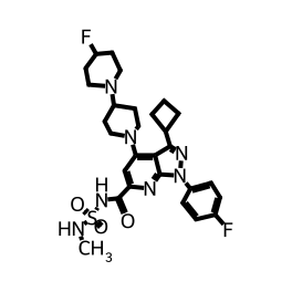 CNS(=O)(=O)NC(=O)c1cc(N2CCC(N3CCC(F)CC3)CC2)c2c(C3CCC3)nn(-c3ccc(F)cc3)c2n1